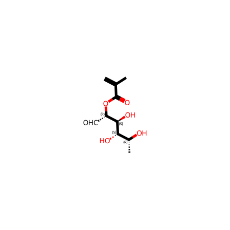 C=C(C)C(=O)O[C@@H](C=O)[C@@H](O)[C@@H](O)[C@@H](C)O